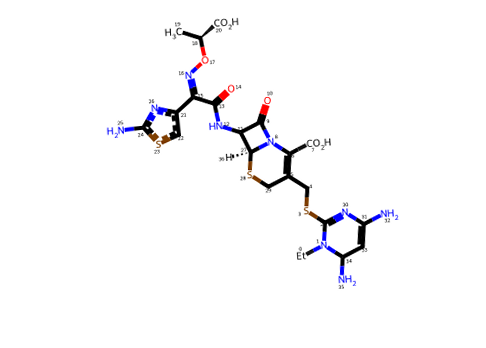 CCN1C(SCC2=C(C(=O)O)N3C(=O)C(NC(=O)/C(=N\O[C@@H](C)C(=O)O)c4csc(N)n4)[C@@H]3SC2)=NC(N)=CC1N